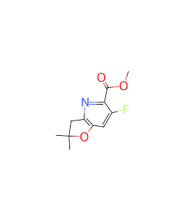 COC(=O)c1nc2c(cc1F)OC(C)(C)C2